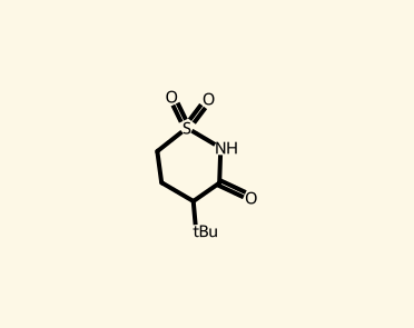 CC(C)(C)C1CCS(=O)(=O)NC1=O